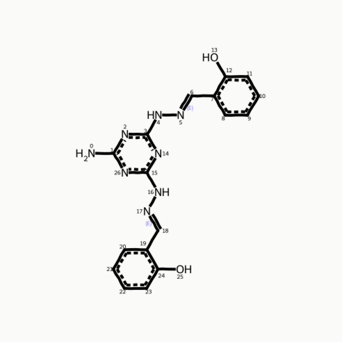 Nc1nc(N/N=C/c2ccccc2O)nc(N/N=C/c2ccccc2O)n1